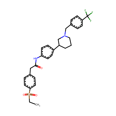 CCS(=O)(=O)c1ccc(CC(=O)Nc2ccc(C3CCCN(Cc4ccc(C(F)(F)F)cc4)C3)cc2)cc1